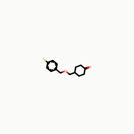 O=C1CCC(COCc2ccc(F)cc2)CC1